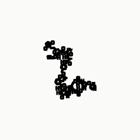 CC(C)[C@H](NC(=O)[C@H](CCCCN1C(=O)C=CC1=O)NC(=O)OC(C)(C)C)C(=O)N[C@@H](C)C(=O)Nc1ccc(COC(=O)N(C)Cc2ccccc2C(=O)Nc2nc3c(ncn3[C@@H]3OC4CO[PH](=O)O[C@H]5C[C@H](Oc6ccncn6)C[C@@H]5CO[PH](=O)O[C@@H]3[C@@H]4O)c(=O)[nH]2)cc1